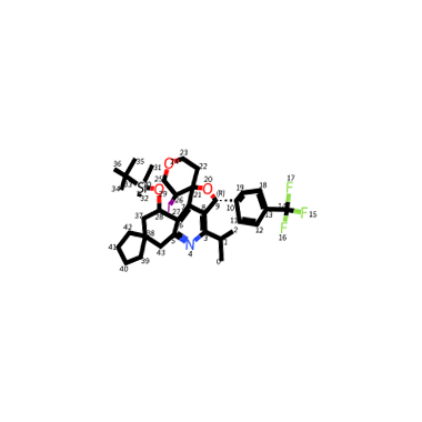 CC(C)c1nc2c(c3c1[C@@H](c1ccc(C(F)(F)F)cc1)OC31CCOCC1I)C(O[Si](C)(C)C(C)(C)C)CC1(CCCC1)C2